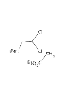 CCCCCCC(Cl)Cl.CCOC(C)=O